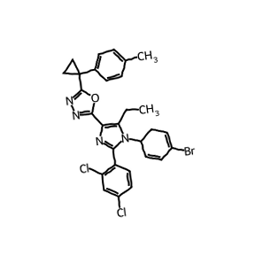 CCc1c(-c2nnc(C3(c4ccc(C)cc4)CC3)o2)nc(-c2ccc(Cl)cc2Cl)n1C1C=CC(Br)=CC1